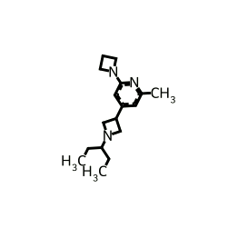 CCC(CC)N1CC(c2cc(C)nc(N3CCC3)c2)C1